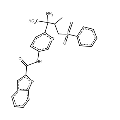 CC(CS(=O)(=O)c1ccccc1)C(N)(C(=O)O)c1ccc(NC(=O)c2cc3ccccc3o2)cn1